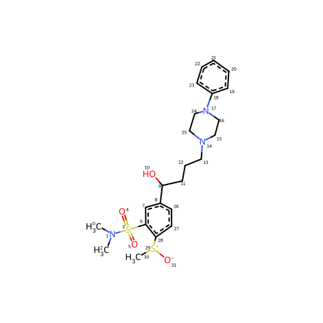 CN(C)S(=O)(=O)c1cc(C(O)CCCN2CCN(c3ccccc3)CC2)ccc1[S+](C)[O-]